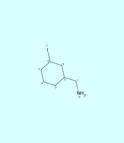 NCC1CCCC(I)C1